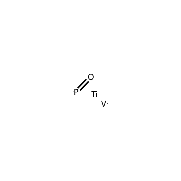 O=[P].[Ti].[V]